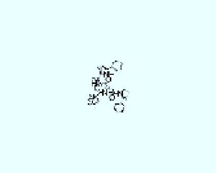 Cc1cc(C(=O)N[C@@H](CC(=O)N2CCC[C@@H]2c2ccccc2)C(=O)N[C@@H](C)c2ncc(-c3ccccc3)[nH]2)no1